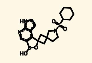 O=S(=O)(C1CCCCC1)N1CCC2(C1)CC1(C2)OB(O)c2cnc3[nH]ccc3c21